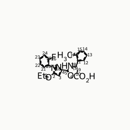 CCOc1cc(C(=O)N[C@@H](CC(=O)O)c2ccccc2C)nn1-c1ccccc1F